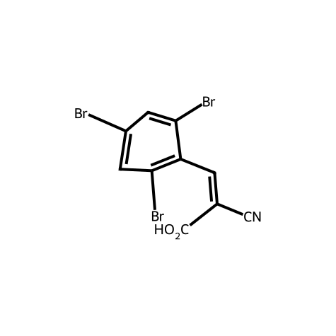 N#CC(=Cc1c(Br)cc(Br)cc1Br)C(=O)O